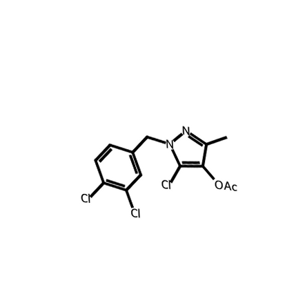 CC(=O)Oc1c(C)nn(Cc2ccc(Cl)c(Cl)c2)c1Cl